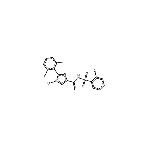 Cn1cc(C(=O)NS(=O)(=O)c2ccccc2Cl)nc1-c1c(F)cccc1F